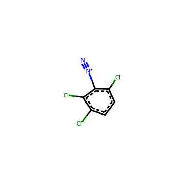 N#[N+]c1c(Cl)ccc(Cl)c1Cl